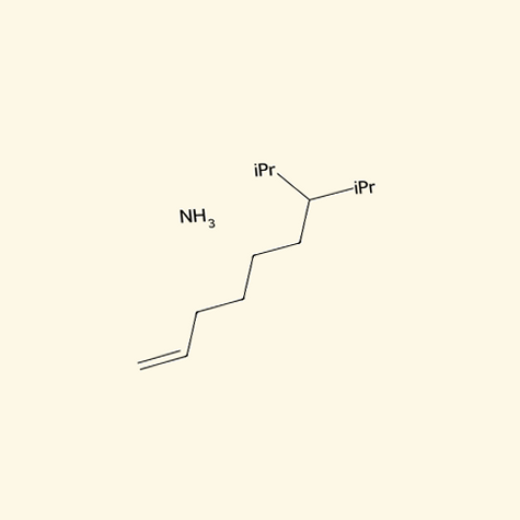 C=CCCCCC(C(C)C)C(C)C.N